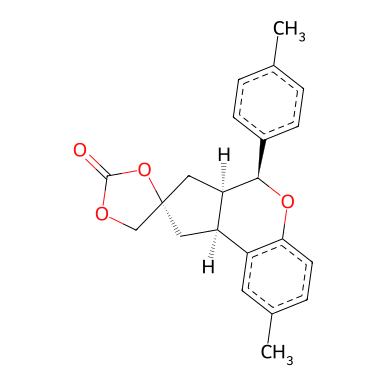 Cc1ccc([C@H]2Oc3ccc(C)cc3[C@H]3C[C@@]4(COC(=O)O4)C[C@H]32)cc1